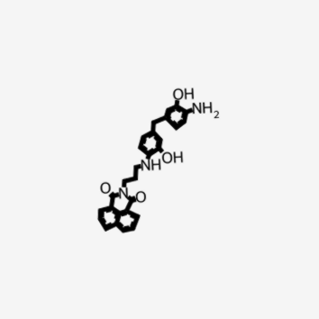 Nc1ccc(Cc2ccc(NCCCN3C(=O)c4cccc5cccc(c45)C3=O)c(O)c2)cc1O